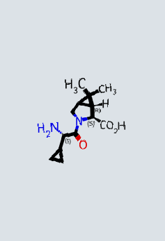 CC1(C)C2CN(C(=O)[C@@H](N)C3CC3)[C@H](C(=O)O)[C@H]21